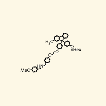 CCCCCCOc1ccc(C2(c3ccc(OCCOc4ccc(CNCc5ccc(OC)cc5)cc4)cc3)c3ccccc3-c3ccc(C)cc32)cc1